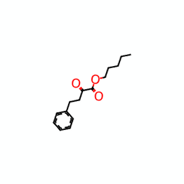 CCCCCOC(=O)C(=O)CCc1ccccc1